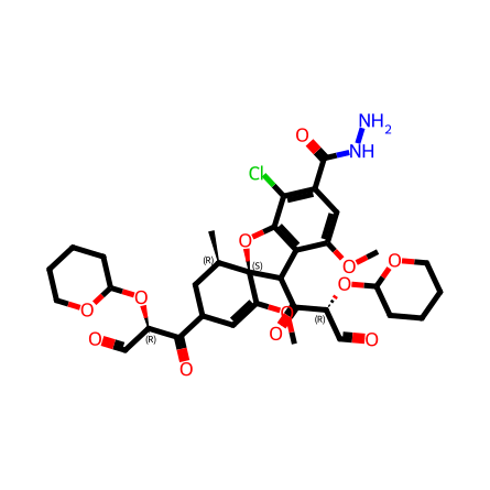 COC1=CC(C(=O)[C@@H](C=O)OC2CCCCO2)C[C@@H](C)[C@@]12Oc1c(Cl)c(C(=O)NN)cc(OC)c1C2C(=O)[C@@H](C=O)OC1CCCCO1